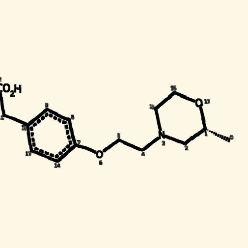 C[C@@H]1CN(CCOc2ccc(CC(=O)O)cc2)CCO1